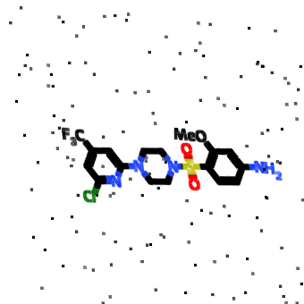 COc1cc(N)ccc1S(=O)(=O)N1CCN(c2cc(C(F)(F)F)cc(Cl)n2)CC1